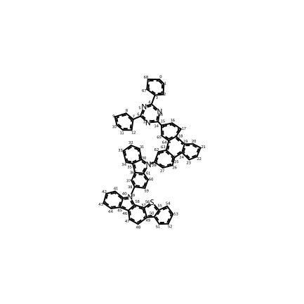 c1ccc(-c2nc(-c3ccccc3)nc(-c3ccc4c5ccccc5c5ccc(-n6c7ccccc7c7cc(-n8c9ccccc9c9ccc%10c%11ccccc%11sc%10c98)ccc76)cc5c4c3)n2)cc1